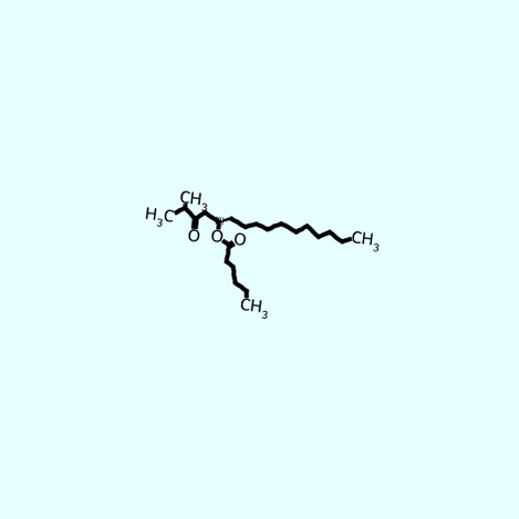 CCCCCCCCCCC[C@H](CC(=O)C(C)C)OC(=O)CCCCC